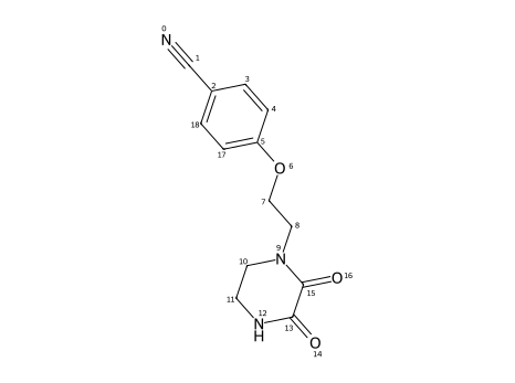 N#Cc1ccc(OCCN2CCNC(=O)C2=O)cc1